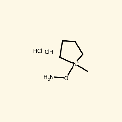 C[N+]1(ON)CCCC1.Cl.Cl